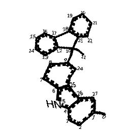 Cc1ccc2[nH]c3ccc(C4(C)c5ccccc5-c5ccccc54)cc3c2c1